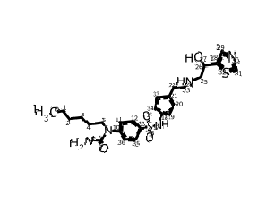 CCCCCCN(C(N)=O)c1ccc(S(=O)(=O)Nc2ccc(CCNCC(O)c3cncs3)cc2)cc1